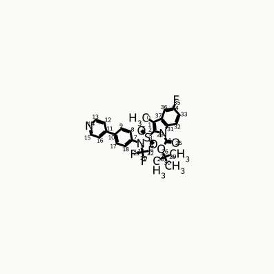 Cc1c(S(=O)(=O)N(c2ccc(-c3ccncc3)cc2)C(F)(F)F)n(C(=O)OC(C)(C)C)c2ccc(F)cc12